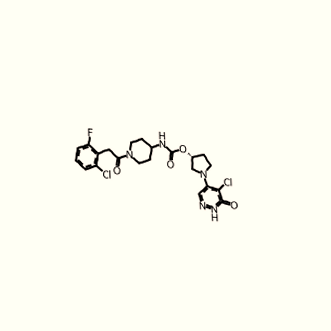 O=C(NC1CCN(C(=O)Cc2c(F)cccc2Cl)CC1)O[C@@H]1CCN(c2cn[nH]c(=O)c2Cl)C1